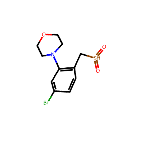 O=[SH](=O)Cc1ccc(Br)cc1N1CCOCC1